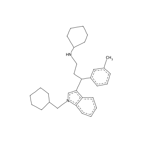 Cc1cccc(C(CCNC2CCCCC2)c2cn(CC3CCCCC3)c3ccccc23)c1